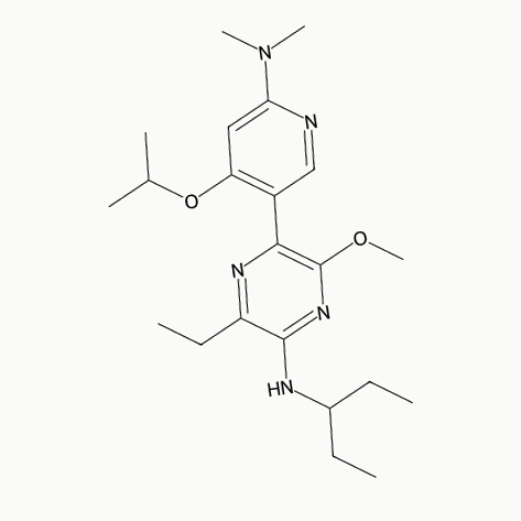 CCc1nc(-c2cnc(N(C)C)cc2OC(C)C)c(OC)nc1NC(CC)CC